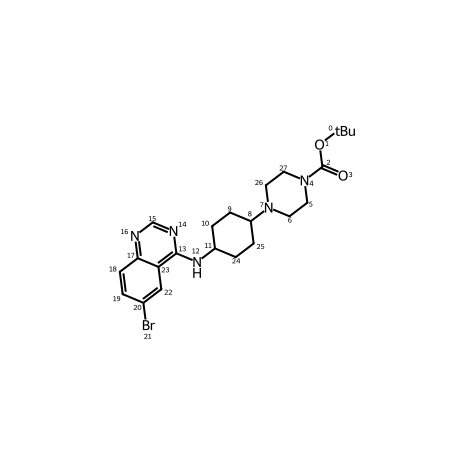 CC(C)(C)OC(=O)N1CCN(C2CCC(Nc3ncnc4ccc(Br)cc34)CC2)CC1